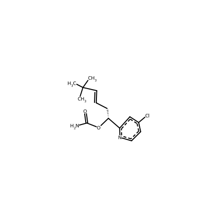 CC(C)(C)C=CC[C@@H](OC(N)=O)c1cc(Cl)ccn1